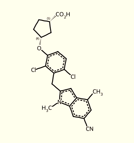 Cc1cc(C#N)cc2c1cc(Cc1c(Cl)ccc(O[C@@H]3CC[C@H](C(=O)O)C3)c1Cl)n2C